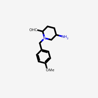 COc1ccc(CN2CC(N)CCC2C=O)cc1